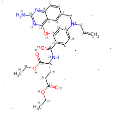 C=CCN(Cc1ccc2nc(N)nc(O)c2c1)c1ccc(C(=O)N[C@H](CCC(=O)OCC)C(=O)OCC)cc1